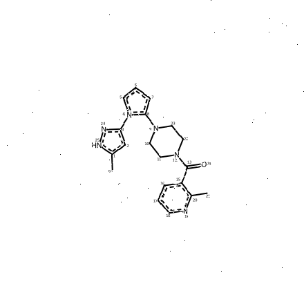 Cc1cc(-n2cccc2N2CCN(C(=O)c3cccnc3C)CC2)n[nH]1